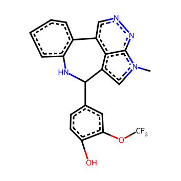 Cn1cc2c3c(cnnc31)-c1ccccc1NC2c1ccc(O)c(OC(F)(F)F)c1